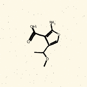 COC(C)c1coc(N)c1C(=O)O